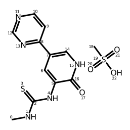 CNC(=S)Nc1cc(-c2ccncn2)c[nH]c1=O.CS(=O)(=O)O